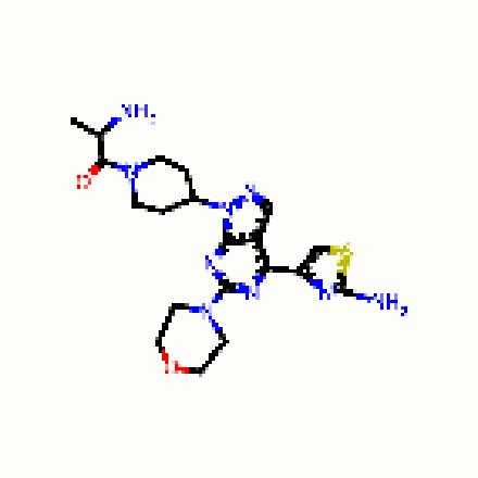 CC(N)C(=O)N1CCC(n2ncc3c(-c4csc(N)n4)nc(N4CCOCC4)nc32)CC1